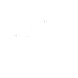 COC(=O)c1cc2c(-c3ccccc3)c3ccccc3c(-c3ccccc3)c2cc1C(=O)O